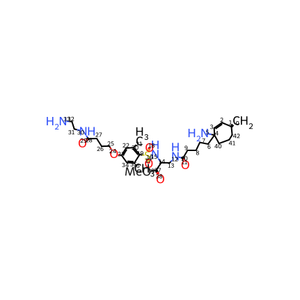 C=C1C=CC(N)(CCCCC(=O)NCC(NS(=O)(=O)c2c(C)cc(OCCCC(=O)NCCN)cc2C)C(=O)OC)CCC1